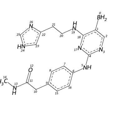 Bc1cnc(Nc2ccc(CC(=O)NC)cc2)nc1NCCc1c[nH]cn1